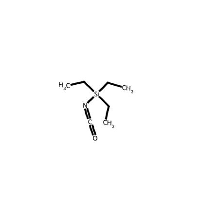 CC[Si](CC)(CC)N=C=O